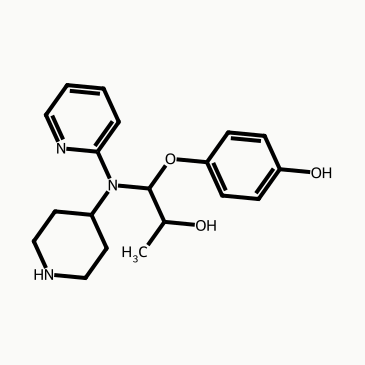 CC(O)C(Oc1ccc(O)cc1)N(c1ccccn1)C1CCNCC1